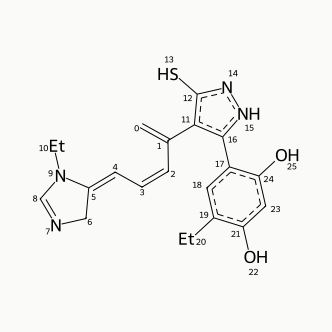 C=C(/C=C\C=C1/CN=CN1CC)c1c(S)n[nH]c1-c1cc(CC)c(O)cc1O